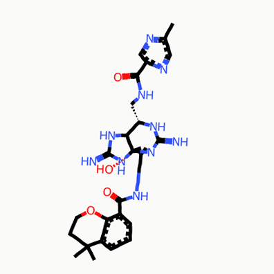 Cc1cnc(C(=O)NC[C@@H]2NC(=N)N3CC(NC(=O)c4cccc5c4OCCC5(C)C)[C@@H](O)C34NC(=N)NC24)cn1